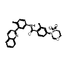 Cc1cc(N2COCCS2(=O)=O)ccc1C(=O)Nc1ccc(C)c(-c2ccc3ccccc3n2)c1